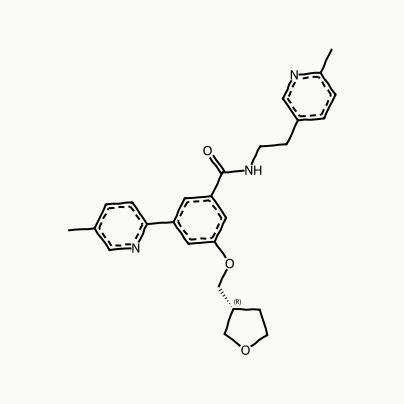 Cc1ccc(-c2cc(OC[C@@H]3CCOC3)cc(C(=O)NCCc3ccc(C)nc3)c2)nc1